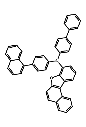 c1ccc(-c2ccc(N(c3ccc(-c4cccc5ccccc45)cc3)c3cccc4c3oc3ccc5ccccc5c34)cc2)cc1